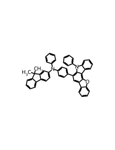 CC1(C)c2ccccc2-c2ccc(N(c3ccccc3)c3ccc(-c4cc5c6ccccc6oc5c5c6ccccc6n(-c6ccccc6)c45)cc3)cc21